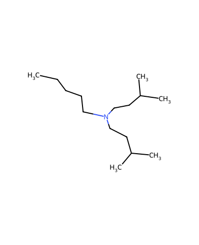 CCCCCN(CCC(C)C)CCC(C)C